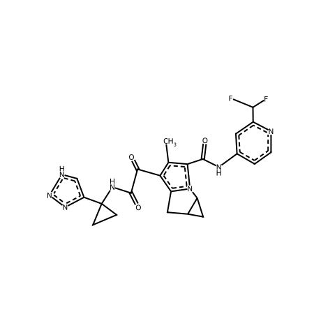 Cc1c(C(=O)C(=O)NC2(c3c[nH]nn3)CC2)c2n(c1C(=O)Nc1ccnc(C(F)F)c1)C1CC1C2